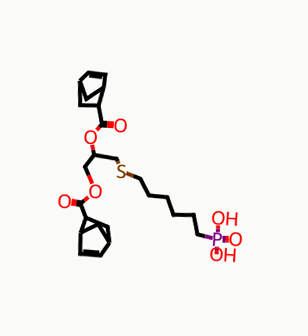 O=C(OCC(CSCCCCCCP(=O)(O)O)OC(=O)C1CC2C=CC1C2)C1CC2C=CC1C2